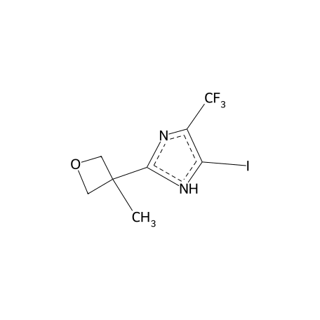 CC1(c2nc(C(F)(F)F)c(I)[nH]2)COC1